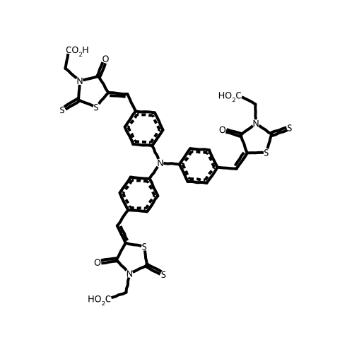 O=C(O)CN1C(=O)/C(=C/c2ccc(N(c3ccc(/C=C4\SC(=S)N(CC(=O)O)C4=O)cc3)c3ccc(/C=C4/SC(=S)N(CC(=O)O)C4=O)cc3)cc2)SC1=S